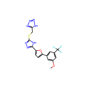 COc1cc(-c2ccc(-c3nnc(SCc4nnn[nH]4)[nH]3)o2)cc(C(F)(F)F)c1